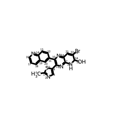 Cc1ncc(-c2nc3c(nc2-c2ccc4ncccc4c2)C=C(Br)C(O)N3)s1